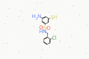 Nc1cc(S)cc(S(=O)(=O)NCc2ccccc2Cl)c1